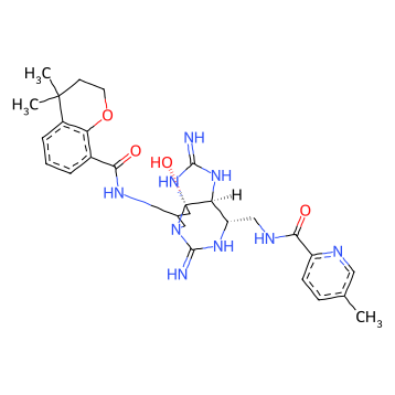 Cc1ccc(C(=O)NC[C@@H]2NC(=N)N3CC(NC(=O)c4cccc5c4OCCC5(C)C)[C@@H](O)[C@@]34NC(=N)N[C@@H]24)nc1